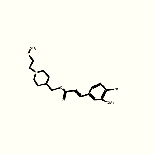 COc1cc(/C=C/C(=O)OCC2CCN(CCO[N+](=O)[O-])CC2)ccc1O